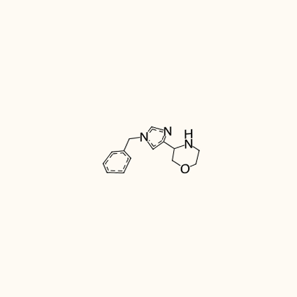 c1ccc(Cn2cnc(C3COCCN3)c2)cc1